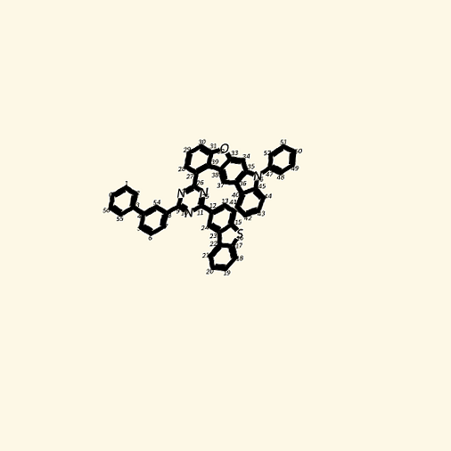 c1ccc(-c2cccc(-c3nc(-c4ccc5sc6ccccc6c5c4)nc(-c4cccc5oc6cc7c(cc6c45)c4ccccc4n7-c4ccccc4)n3)c2)cc1